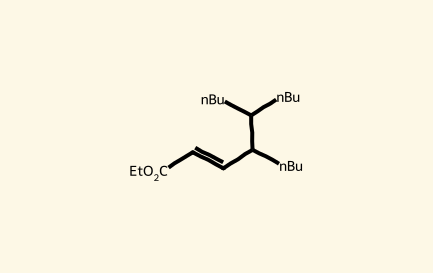 CCCCC(/C=C/C(=O)OCC)C(CCCC)CCCC